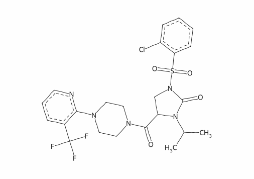 CC(C)N1C(=O)N(S(=O)(=O)c2ccccc2Cl)CC1C(=O)N1CCN(c2ncccc2C(F)(F)F)CC1